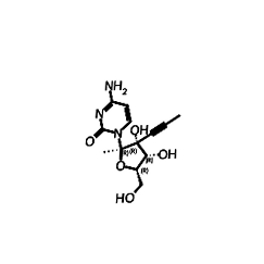 CC#C[C@@]1(O)[C@H](O)[C@@H](CO)O[C@@]1(C)n1ccc(N)nc1=O